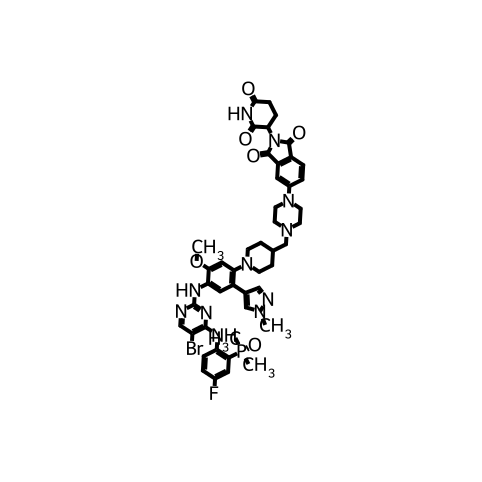 COc1cc(N2CCC(CN3CCN(c4ccc5c(c4)C(=O)N(C4CCC(=O)NC4=O)C5=O)CC3)CC2)c(-c2cnn(C)c2)cc1Nc1ncc(Br)c(Nc2ccc(F)cc2P(C)(C)=O)n1